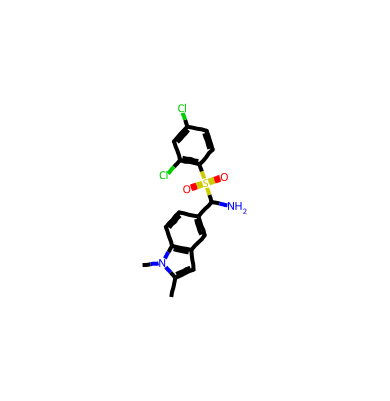 Cc1cc2cc(C(N)S(=O)(=O)c3ccc(Cl)cc3Cl)ccc2n1C